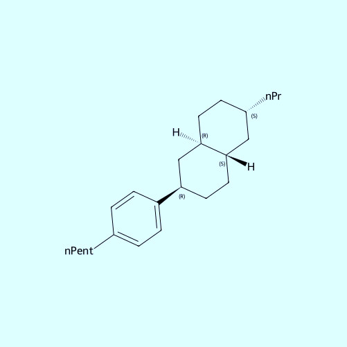 CCCCCc1ccc([C@@H]2CC[C@H]3C[C@@H](CCC)CC[C@@H]3C2)cc1